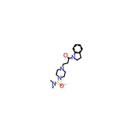 CN(C)[S+]([O-])N1CCN(CCC(=O)N2CCc3ccccc32)CC1